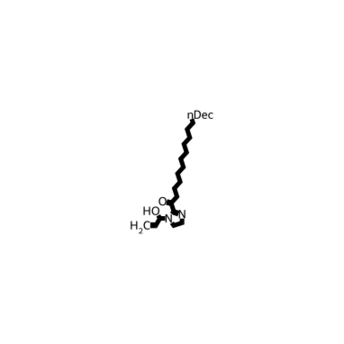 C=CC(O)N1CCN=C1C(=O)CCCCCCCCCCCCCCCCCCCCC